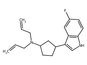 C=CCN(CC=C)C1CCC(c2c[nH]c3ccc(F)cc23)C1